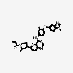 C=CC(=O)N1CCC(c2ccc3ncnc(Nc4ccc(Oc5ccc6c(c5)ncn6C)c(C)c4)c3n2)CC1C